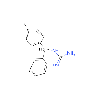 Cc1ccc([SiH](NC(=N)N)c2ccccc2)cc1